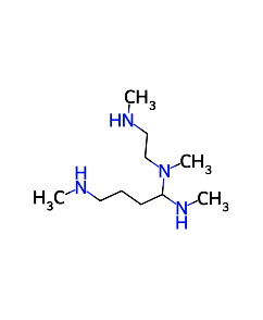 CNCCCC(NC)N(C)CCNC